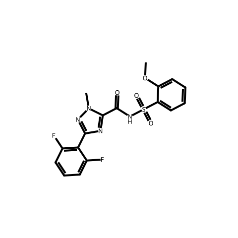 COc1ccccc1S(=O)(=O)NC(=O)c1nc(-c2c(F)cccc2F)nn1C